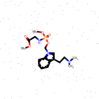 CN(C)CCc1cn(COP(=O)(NCC(=O)OC(C)(C)C)OC(C)(C)C)c2ccccc12